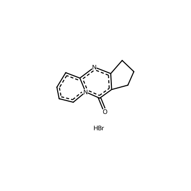 Br.O=c1c2c(nc3ccccn13)CCC2